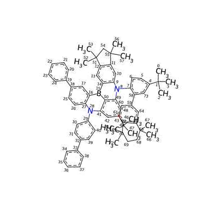 CC(C)(C)c1ccc(N2c3cc4c(cc3B3c5cc(-c6ccccc6)ccc5N(c5ccc(-c6ccccc6)cc5)c5cc(C(C)(C)C)cc2c53)C(C)(C)CC4(C)C)c(-c2ccc3c(c2)C(C)(C)CCC3(C)C)c1